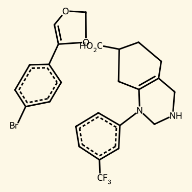 Brc1ccc(C2=COCO2)cc1.O=C(O)C1CCC2=C(C1)N(c1cccc(C(F)(F)F)c1)CNC2